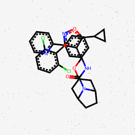 O=C(Nc1cccc(-c2ccccn2)c1)N1C2CCC1CC(OCc1c(-c3c(Cl)cccc3Cl)noc1C1CC1)C2